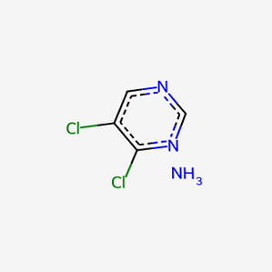 Clc1cncnc1Cl.N